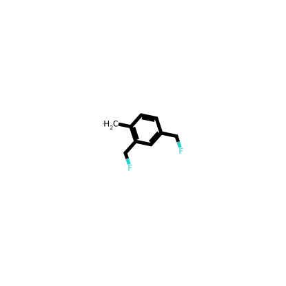 [CH2]c1ccc(CF)cc1CF